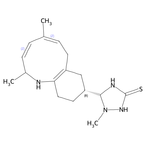 CC1=C/CC2=C(CC[C@@H](C3NC(=S)NN3C)C2)NC(C)/C=C\1